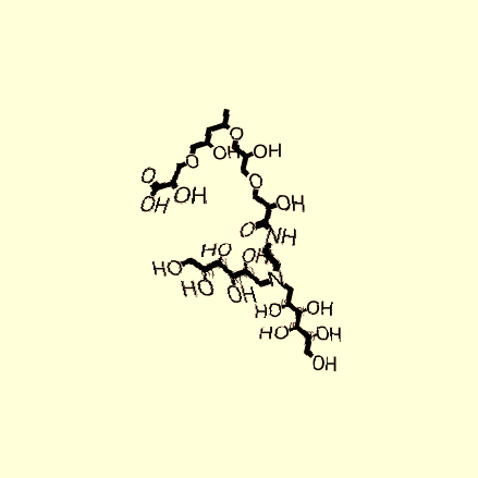 CC(CC(O)COCC(O)C(=O)O)OCC(O)COCC(O)C(=O)NCCN(C[C@H](O)[C@@H](O)[C@H](O)[C@H](O)CO)C[C@H](O)[C@@H](O)[C@H](O)[C@H](O)CO